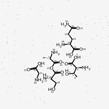 C[C@@H](O)[C@H](N)C(=O)O.C[C@H](N)C(=O)OC(=O)[C@@H](N)CO.NC(=O)CC[C@H](N)C(=O)O.NCC(=O)O